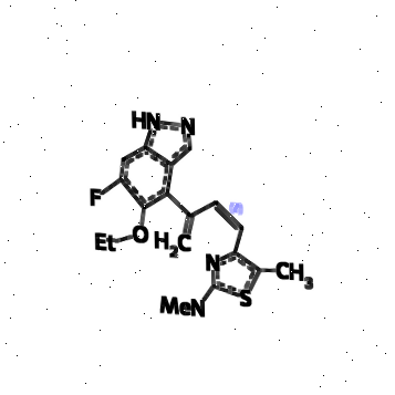 C=C(/C=C\c1nc(NC)sc1C)c1c(OCC)c(F)cc2[nH]ncc12